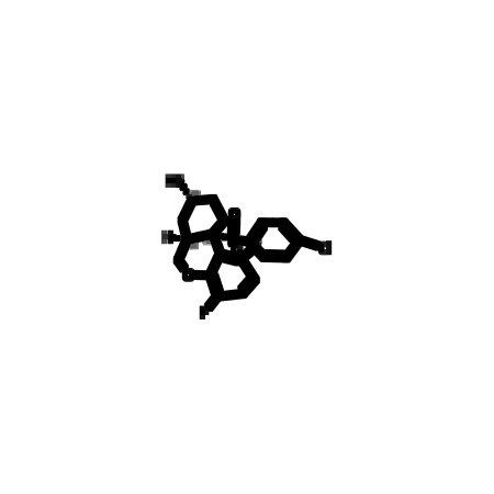 O=S(=O)(c1ccc(Cl)cc1)[C@@]12CC[C@@H](S)C[C@@H]1COc1c(F)ccc(F)c12